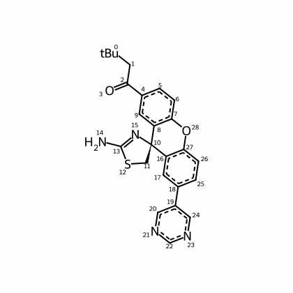 CC(C)(C)CC(=O)c1ccc2c(c1)[C@]1(CSC(N)=N1)c1cc(-c3cncnc3)ccc1O2